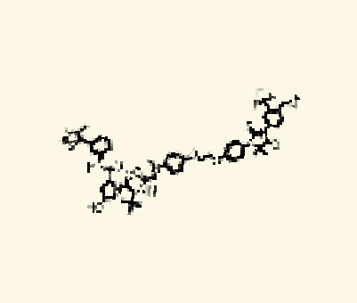 C=NCc1ccc(N2C(=O)C(C)(C)N(c3ccc(OCCOc4ccc(N(C)CC(=O)N[C@H](C(=O)N5C[C@H](O)C[C@@H]5C(=O)Nc5cccc(-c6scnc6C)c5)C(C)(C)C)cc4)cc3)C2=S)cc1C(F)(F)F